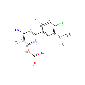 CN(C)c1cc(-c2cc(N)c(Cl)c(OC(=O)O)n2)c(F)cc1Cl